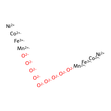 [Co+2].[Co+2].[Fe+3].[Fe+3].[Mn+2].[Mn+2].[Ni+2].[Ni+2].[O-2].[O-2].[O-2].[O-2].[O-2].[O-2].[O-2].[O-2].[O-2]